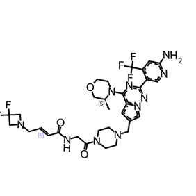 C[C@H]1COCCN1c1nc(-c2cnc(N)cc2C(F)(F)F)nn2cc(CN3CCN(C(=O)CNC(=O)/C=C/CN4CC(F)(F)C4)CC3)cc12